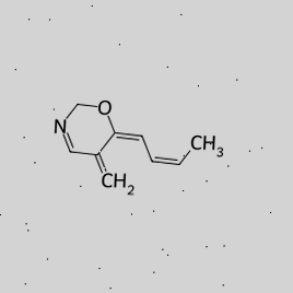 C=C1C=NCO/C1=C/C=C\C